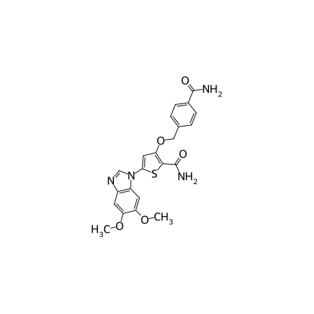 COc1cc2ncn(-c3cc(OCc4ccc(C(N)=O)cc4)c(C(N)=O)s3)c2cc1OC